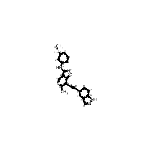 COc1cccc(Nc2noc3c(C#Cc4ccc5[nH]ncc5c4)c(C)ncc23)c1